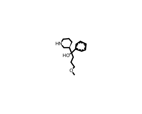 COCCC[C@@](O)(c1ccccc1)[C@@H]1CCCNC1